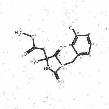 COC(=O)CC1(C)NC(=N)N(Cc2cccc(Cl)c2)C1=O